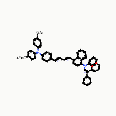 COc1ccc(N(c2ccc(/C=C/C=C/c3ccc(N(/C=C(\C4=CC=CCC4)c4ccccc4)c4c#cccc4)c4ccccc34)cc2)c2ccc(OC)cc2)cc1